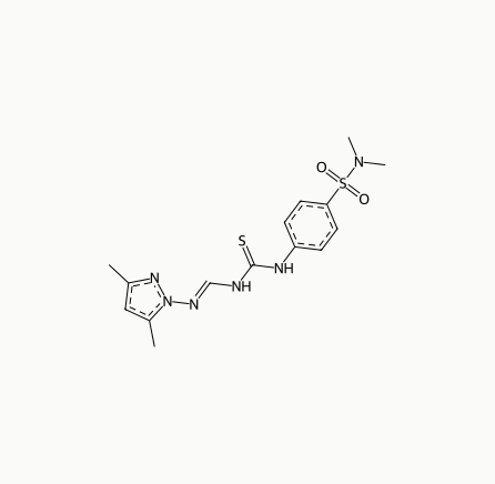 Cc1cc(C)n(N=CNC(=S)Nc2ccc(S(=O)(=O)N(C)C)cc2)n1